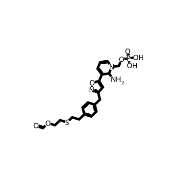 NC1C(c2cc(Cc3ccc(CCSCCOC=O)cc3)no2)=CC=CN1COP(=O)(O)O